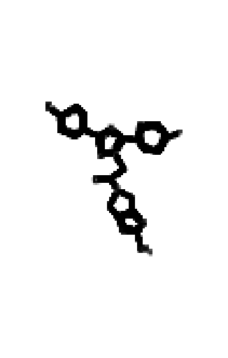 Cc1nc2c(o1)CN(C(=O)Cn1nc(-c3ccc(F)cc3)nc1-c1ccc(F)cc1)C2